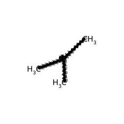 CCCCCCCCCCCCCCCn1cc[n+](CCCCCCCCCCCCC)c1CCCCCCCCCCCC